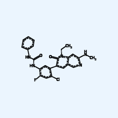 CCn1c(=O)c(-c2cc(NC(=O)Nc3ccccc3)c(F)cc2Cl)cc2cnc(NC)cc21